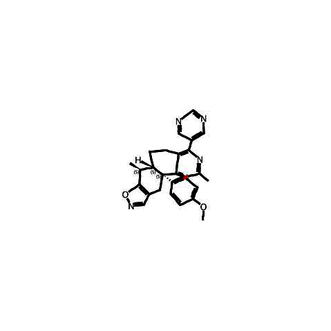 COc1ccc([C@]23Cc4cnoc4[C@@H](C)[C@@H]2CCc2c(-c4cncnc4)nc(C)nc23)cc1